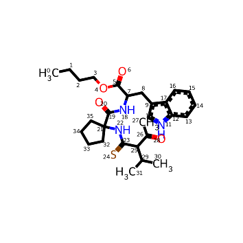 CCCCOC(=O)C(Cc1c[nH]c2ccccc12)NC(=O)C1(NC(=S)C(C(C)=O)C(C)C)CCCC1